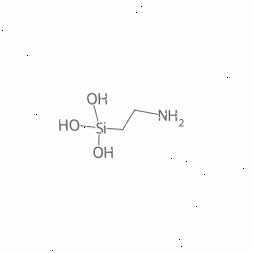 NCC[Si](O)(O)O